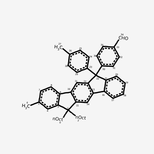 CCCCCCCCC1(CCCCCCCC)c2cc(C)ccc2-c2cc3c(cc21)-c1ccccc1C3(c1ccc(C)cc1)c1ccc(C=O)cc1